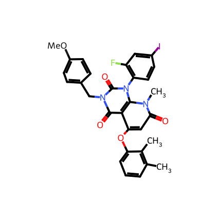 COc1ccc(Cn2c(=O)c3c(Oc4cccc(C)c4C)cc(=O)n(C)c3n(-c3ccc(I)cc3F)c2=O)cc1